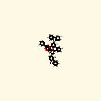 c1ccc(-c2ccc(-c3nc(-c4ccc5oc6ccccc6c5c4)nc(-c4ccccc4-c4cc(-n5c6ccccc6c6ccccc65)cc5c4sc4ccccc45)n3)cc2)cc1